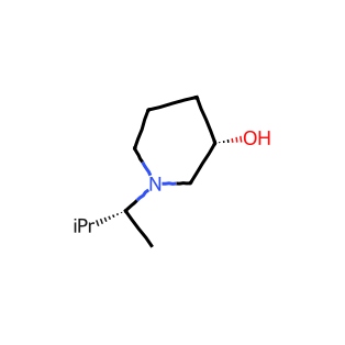 CC(C)[C@@H](C)N1CCC[C@H](O)C1